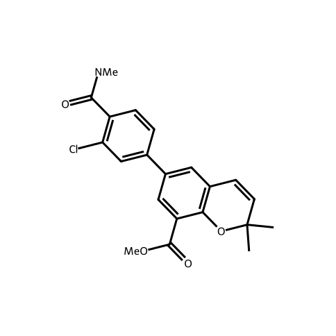 CNC(=O)c1ccc(-c2cc3c(c(C(=O)OC)c2)OC(C)(C)C=C3)cc1Cl